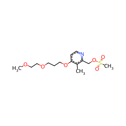 COCCOCCCOc1ccnc(COS(C)(=O)=O)c1C